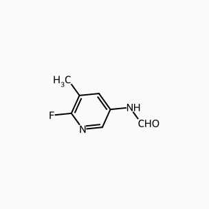 Cc1cc(NC=O)cnc1F